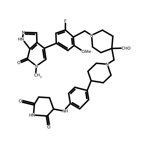 COc1cc(-c2cn(C)c(=O)c3[nH]ncc23)cc(F)c1CN1CCC(C=O)(CN2CCC(c3ccc(NC4CCC(=O)NC4=O)cc3)CC2)CC1